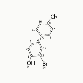 Oc1ccc(-c2ccc(Cl)cc2)cc1Br